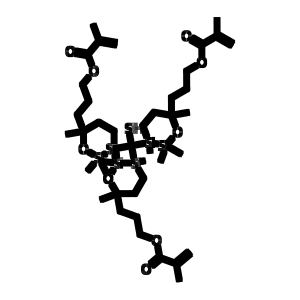 C=C(C)C(=O)OCCCC1(C)CC[Si](C)(C([SiH3])([Si]2(C)CCC(C)(CCCOC(=O)C(=C)C)O[Si]2(C)C)[Si]2(C)CCC(C)(CCCOC(=O)C(=C)C)O[Si]2(C)C)[Si](C)(C)O1